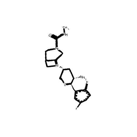 CNC(=O)N1CC2CN([C@H]3CO[C@H](c4cc(F)ccc4F)[C@@H](N)C3)C2C1